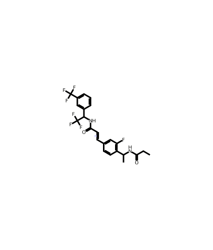 CCC(=O)NC(C)c1ccc(/C=C/C(=O)NC(c2cccc(C(F)(F)F)c2)C(F)(F)F)cc1F